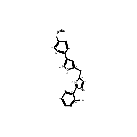 CCCCOc1ccc(-c2cc(CC3C=NC(c4ccccc4F)=N3)on2)cc1